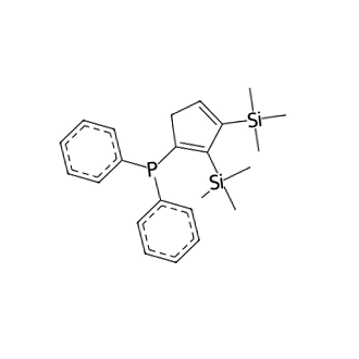 C[Si](C)(C)C1=CCC(P(c2ccccc2)c2ccccc2)=C1[Si](C)(C)C